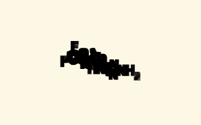 Cc1c([C@@H](NC(=O)Nc2cnc(N)nc2)C(C)C)oc2c(F)cc(F)cc12